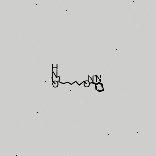 c1ccc2c(OCCCCCCC3CNCCO3)ncnc2c1